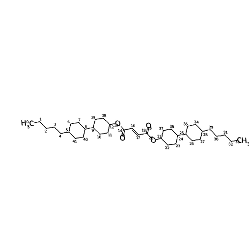 CCCCCC1CCC(C2CCC(OC(=O)/C=C/C(=O)OC3CCC(C4CCC(CCCCC)CC4)CC3)CC2)CC1